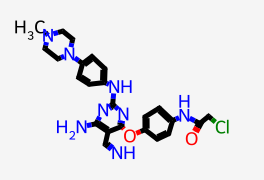 CN1CCN(c2ccc(Nc3nc(N)c(C=N)c(Oc4ccc(NC(=O)CCl)cc4)n3)cc2)CC1